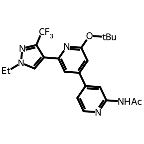 CCn1cc(-c2cc(-c3ccnc(NC(C)=O)c3)cc(OC(C)(C)C)n2)c(C(F)(F)F)n1